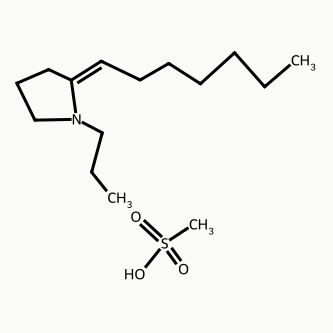 CCCCCCC=C1CCCN1CCC.CS(=O)(=O)O